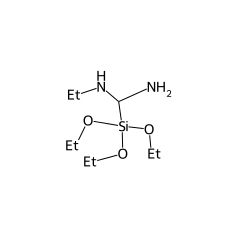 CCNC(N)[Si](OCC)(OCC)OCC